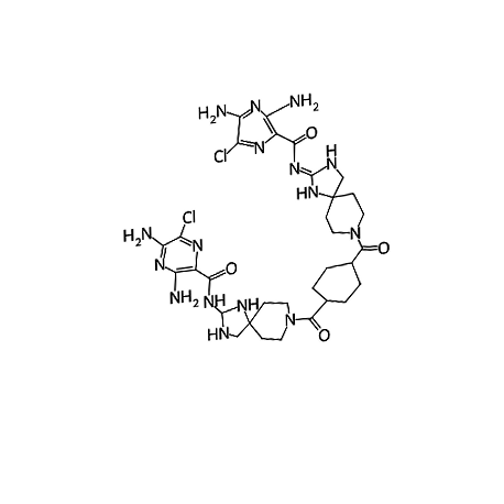 Nc1nc(N)c(C(=O)/N=C2\NCC3(CCN(C(=O)C4CCC(C(=O)N5CCC6(CC5)CNC(NC(=O)c5nc(Cl)c(N)nc5N)N6)CC4)CC3)N2)nc1Cl